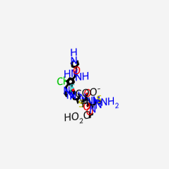 CC(C)(O/N=C(\C(=O)N[C@@H]1C(=O)N2C(C(=O)[O-])=C(C[n+]3ccc4n(Cc5c(F)cc(C(=N)NOC6CCNCC6)cc5Cl)ccn43)CS[C@H]12)c1nsc(N)n1)C(=O)O